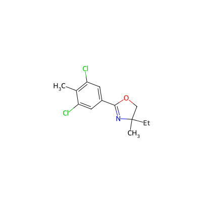 CCC1(C)COC(c2cc(Cl)c(C)c(Cl)c2)=N1